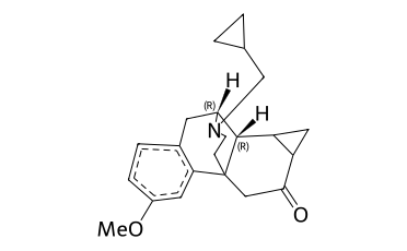 COc1ccc2c(c1)C13CCN(CC4CC4)[C@H](C2)[C@@H]1C1CC1C(=O)C3